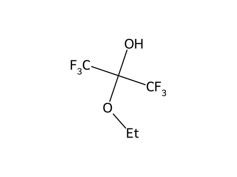 CCOC(O)(C(F)(F)F)C(F)(F)F